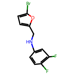 Fc1ccc(NCc2ccc(Br)o2)cc1F